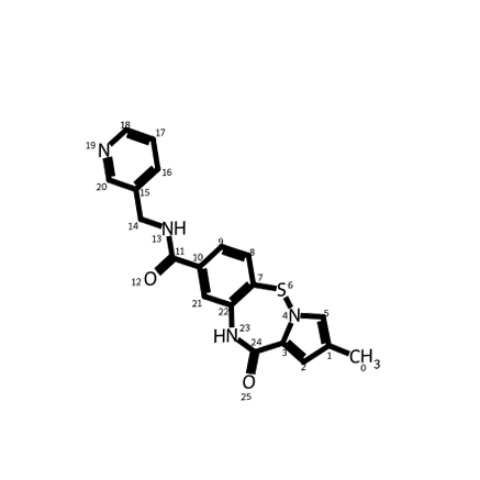 Cc1cc2n(c1)Sc1ccc(C(=O)NCc3cccnc3)cc1NC2=O